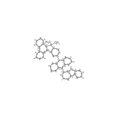 CC1(C)c2ccc(-c3c4ccccc4c(-c4cccc5c4oc4ccccc45)c4ccccc34)cc2-c2c1c1ccccc1c1ccccc21